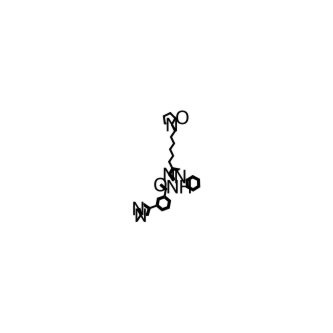 Cn1cc(-c2cccc(C(=O)Nc3nc(CCCCCCN4CCCC4=O)cn3-c3ccccc3)c2)cn1